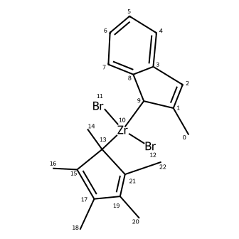 CC1=Cc2ccccc2[CH]1[Zr]([Br])([Br])[C]1(C)C(C)=C(C)C(C)=C1C